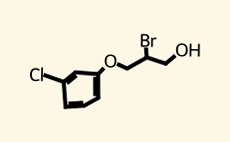 OCC(Br)COc1cccc(Cl)c1